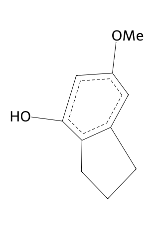 COc1cc(O)c2c(c1)CCC2